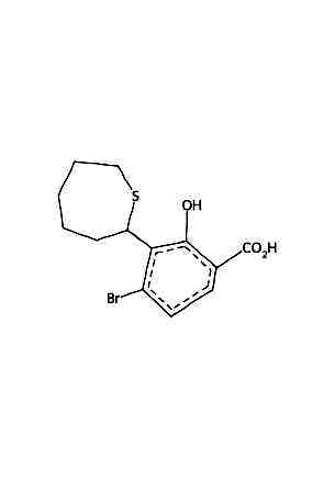 O=C(O)c1ccc(Br)c(C2CCCCCS2)c1O